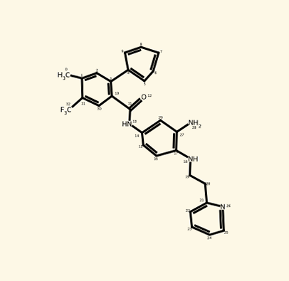 Cc1cc(-c2ccccc2)c(C(=O)Nc2ccc(NCCc3ccccn3)c(N)c2)cc1C(F)(F)F